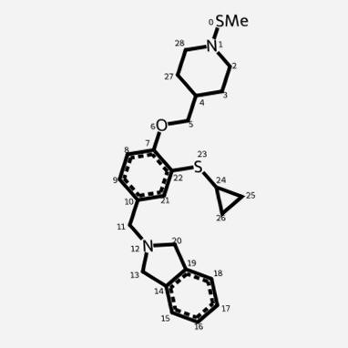 CSN1CCC(COc2ccc(CN3Cc4ccccc4C3)cc2SC2CC2)CC1